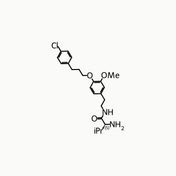 COc1cc(CCNC(=O)[C@@H](N)C(C)C)ccc1OCCCc1ccc(Cl)cc1